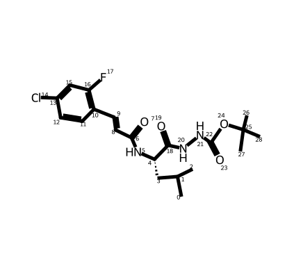 CC(C)C[C@H](NC(=O)/C=C/c1ccc(Cl)cc1F)C(=O)NNC(=O)OC(C)(C)C